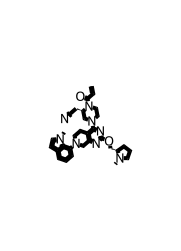 C=CC(=O)N1CCN(c2nc(OC[C@@H]3CCCN3C)nc3c2CCN(c2cccc4ccn(C)c24)C3)C[C@@H]1CC#N